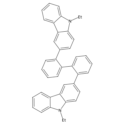 CCn1c2ccccc2c2cc(-c3ccccc3-c3ccccc3-c3ccc4c(c3)c3ccccc3n4CC)ccc21